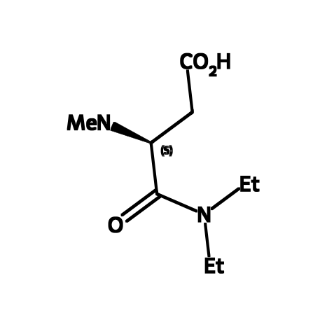 CCN(CC)C(=O)[C@H](CC(=O)O)NC